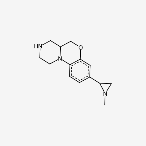 CN1CC1c1ccc2c(c1)OCC1CNCCN21